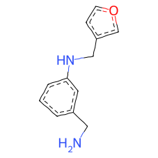 NCc1cccc(NCc2ccoc2)c1